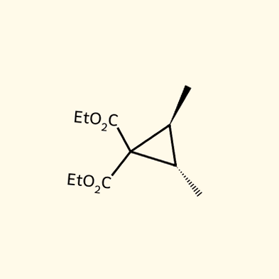 CCOC(=O)C1(C(=O)OCC)[C@@H](C)[C@@H]1C